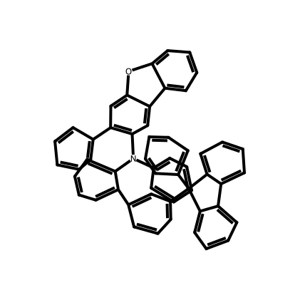 c1ccc(-c2cc3oc4ccccc4c3cc2N(c2ccccc2)c2ccccc2-c2cccc(C3(c4ccccc4)c4ccccc4-c4ccccc43)c2)cc1